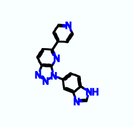 c1cc(-c2ccc3nnn(-c4ccc5[nH]cnc5c4)c3n2)ccn1